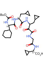 CC(C)COC(=O)N[C@H](C(=O)N[C@@H](CC1CC1)C(=O)NC(CC1CC1)C(=O)C(=O)NCC(=O)N[C@H](C(=O)O)C1CC1)C1CCCCC1